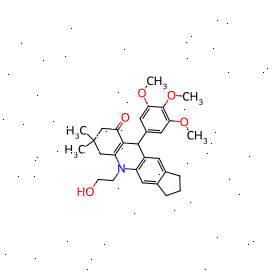 COc1cc(C2C3=C(CC(C)(C)CC3=O)N(CCO)c3cc4c(cc32)CCC4)cc(OC)c1OC